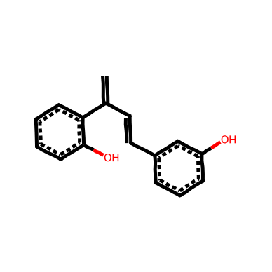 C=C(/C=C/c1cccc(O)c1)c1ccccc1O